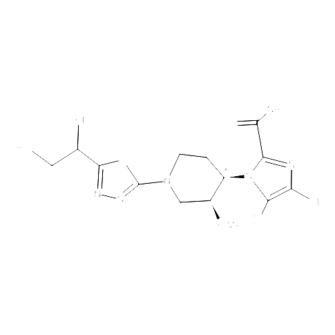 CCc1c(Cl)nc(C(N)=O)n1[C@@H]1CCN(c2nnc(C(C)CO)s2)C[C@@H]1OC